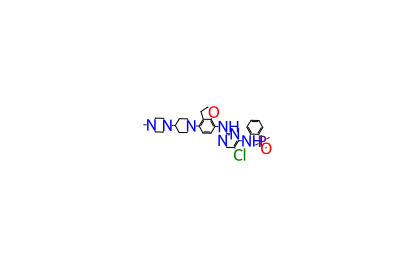 CN1CCN(C2CCN(c3ccc(Nc4ncc(Cl)c(Nc5ccccc5P(C)(C)=O)n4)c4c3CCO4)CC2)CC1